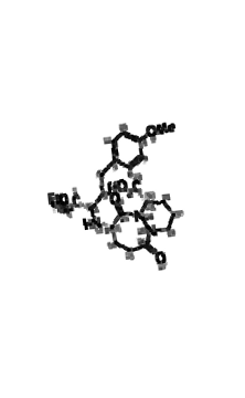 Br.CCOC(=O)[C@H](CCc1ccc(OC)cc1)N[C@H]1CCC(=O)N2CCC[C@@H](C(=O)O)N2C1=O